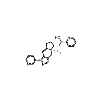 C[C@]12Cc3cnn(-c4cccnc4)c3C=C1CC[C@@H]2CC(O)c1ccccn1